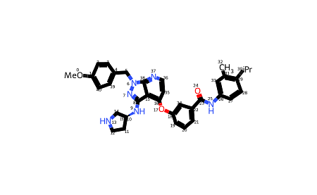 COc1ccc(Cn2nc(N[C@H]3CCNC3)c3c(Oc4cccc(C(=O)Nc5ccc(C(C)C)c(C)c5)c4)ccnc32)cc1